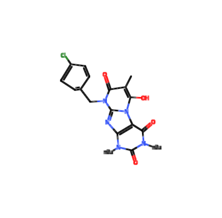 CCCCn1c(=O)c2c(nc3n(Cc4ccc(Cl)cc4)c(=O)c(C)c(O)n23)n(CCCC)c1=O